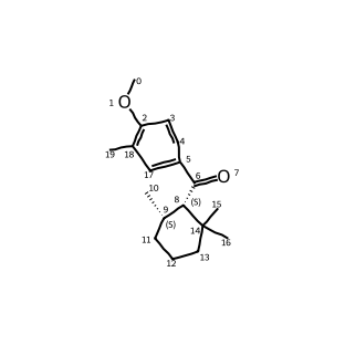 COc1ccc(C(=O)[C@H]2[C@@H](C)CCCC2(C)C)cc1C